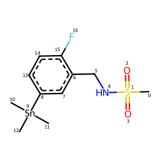 CS(=O)(=O)NCc1c[c]([Sn]([CH3])([CH3])[CH3])ccc1F